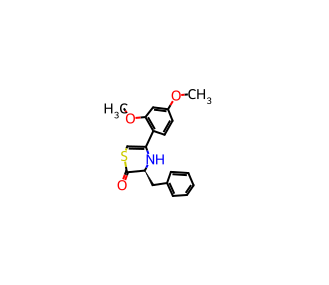 COc1ccc(C2=CSC(=O)[C@H](Cc3ccccc3)N2)c(OC)c1